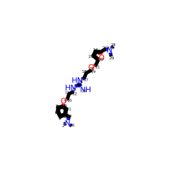 CN(C)Cc1cccc(OCCCNC(=N)NCCCOCc2ccc(CN(C)C)o2)c1